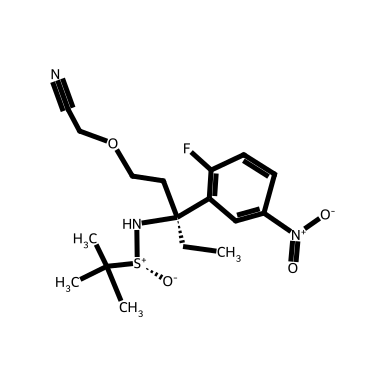 CC[C@@](CCOCC#N)(N[S@+]([O-])C(C)(C)C)c1cc([N+](=O)[O-])ccc1F